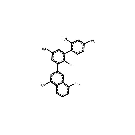 Nc1ccc(-c2cc(N)cc(-c3cc(N)c4cccc(N)c4c3)c2N)c(N)c1